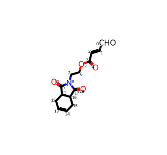 O=C/C=C/C(=O)OCCN1C(=O)C2CC=CCC2C1=O